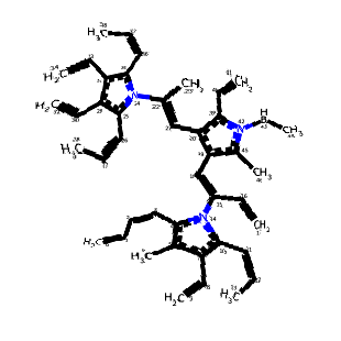 C=C/C=C\c1c(C)c(C=C)c(/C=C\C)n1/C(C=C)=C/c1c(/C=C(\C)n2c(/C=C\C)c(C=C)c(C=C)c2/C=C\C)c(C=C)n(BC)c1C